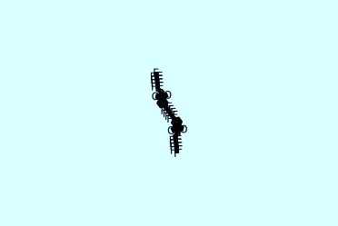 O=C1c2ccc(C(F)(F)C(F)(F)C(F)(F)C(F)(F)c3ccc4c(c3)C(=O)N(CCC(F)(F)C(F)(F)C(F)(F)C(F)(F)F)C4=O)cc2C(=O)N1CCC(F)(F)C(F)(F)C(F)(F)C(F)(F)F